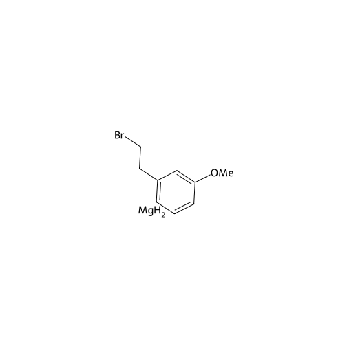 COc1cccc(CCBr)c1.[MgH2]